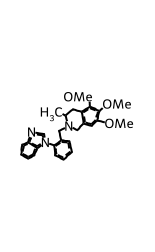 COc1cc2c(c(OC)c1OC)CC(C)N(Cc1ccccc1-n1cnc3ccccc31)C2